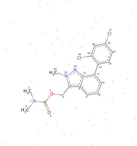 CN(C)C(=O)OCc1c2cccc(-c3ccc(Cl)cc3Cl)c2nn1C